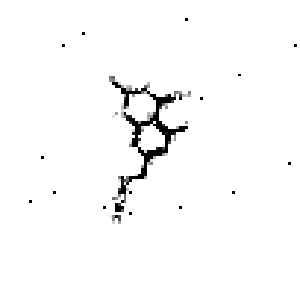 Cc1cc(CN=[N+]=[N-])cc2c1C(=O)CC(C)S2